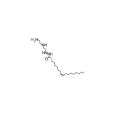 CCCCCCCC/C=C\CCCCCCCC(=O)NNCCNCCN